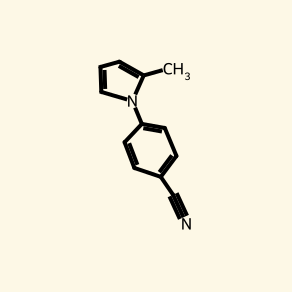 Cc1cccn1-c1ccc(C#N)cc1